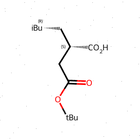 CC[C@@H](C)C[C@@H](CC(=O)OC(C)(C)C)C(=O)O